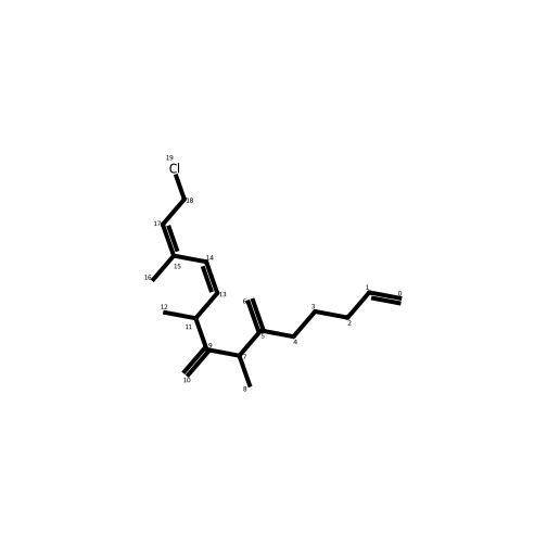 C=CCCCC(=C)C(C)C(=C)C(C)/C=C\C(C)=C/CCl